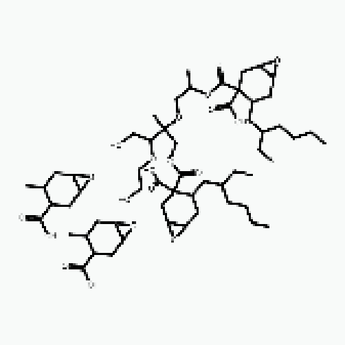 CC1CC2OC2CC1C(=O)O.CC1CC2OC2CC1C(=O)O.CCCCC(CC)CC1CC2OC2CC1(C(=O)O)C(=O)OCC(C)(OCC(C)OC(=O)C1(C(=O)O)CC2OC2CC1CC(CC)CCCC)C(CO)OCCO